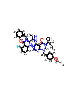 CCC(Nc1ncnc2c1C(=O)N(C(C)C)CN2Cc1ccc(OC)cc1)c1nc2cccc(F)c2c(=O)n1Cc1ccccc1